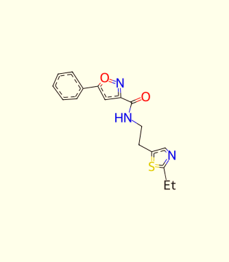 CCc1ncc(CCNC(=O)c2cc(-c3ccccc3)on2)s1